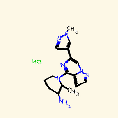 CC1C(N)CCCN1c1nc(-c2cnn(C)c2)cn2nccc12.Cl